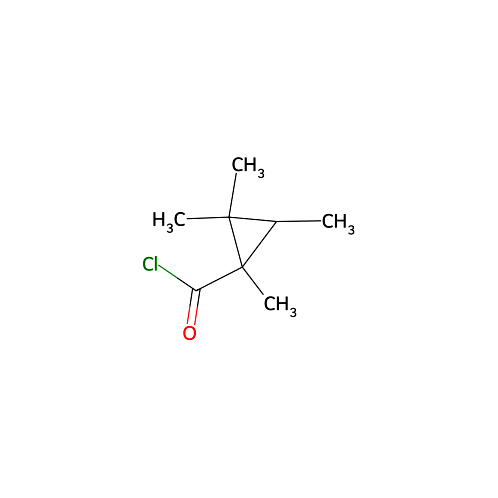 CC1C(C)(C)C1(C)C(=O)Cl